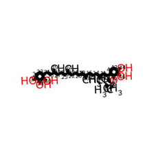 CC[Si](CC)(CC)Oc1c(/C=C/C(C)=C/C=C/C(C)=C/C=C/C=C(C)/C=C/C=C(C)/C=C/c2ccc(O)c(O)c2O)ccc(O)c1O